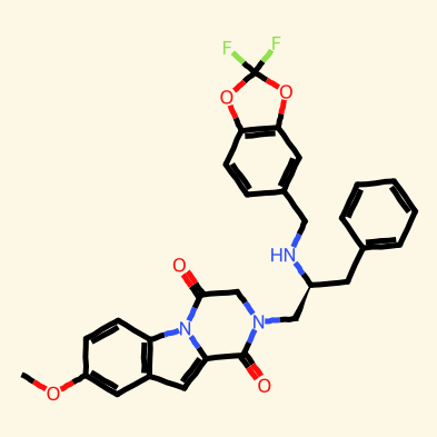 COc1ccc2c(c1)cc1n2C(=O)CN(C[C@H](Cc2ccccc2)NCc2ccc3c(c2)OC(F)(F)O3)C1=O